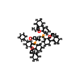 COc1c(-c2ccccc2)cccc1P(CCCP(c1cccc(-c2ccccc2)c1OC)c1cccc(-c2ccccc2)c1OC)c1cccc(-c2ccccc2)c1OC